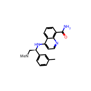 CNC[C@@H](Nc1ccnc2c(C(N)=O)cccc12)c1cccc(C)c1